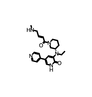 CCN(c1cc(-c2ccncc2)c[nH]c1=O)[C@H]1CCCN(C(=O)C=CCNC)C1